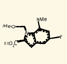 CCOC(=O)c1cc2cc(F)cc(NC)c2n1COC